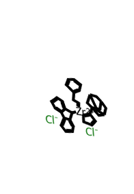 C1=CC(C23CC4CC(CC(C4)C2)C3)=[C](/[Zr+2](=[CH]/Cc2ccccc2)[CH]2c3ccccc3-c3ccccc32)C1.[Cl-].[Cl-]